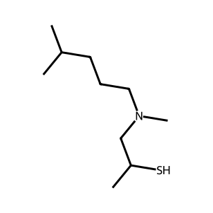 CC(C)CCCN(C)CC(C)S